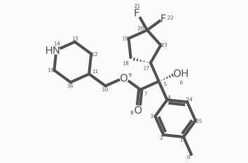 Cc1ccc([C@@](O)(C(=O)OCC2CCNCC2)[C@@H]2CCC(F)(F)C2)cc1